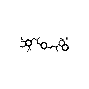 COc1cc(CN(C)Cc2ccc(/C=C/C(=O)Nc3ccccc3[N+](=O)[O-])cc2)cc(OC)c1OC